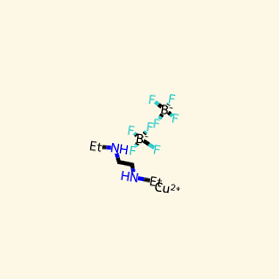 CCNCCNCC.F[B-](F)(F)F.F[B-](F)(F)F.[Cu+2]